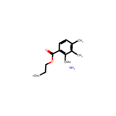 CCCCCCCCCCCCOC(=O)c1ccc(C)c(C)c1OC.N